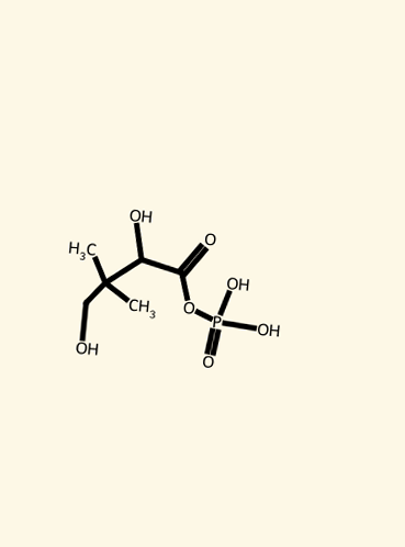 CC(C)(CO)C(O)C(=O)OP(=O)(O)O